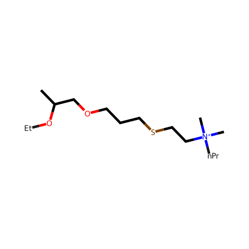 CCC[N+](C)(C)CCSCCCOCC(C)OCC